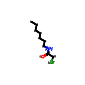 CCCCCCCNC(=O)CBr